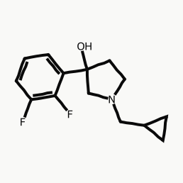 OC1(c2cccc(F)c2F)CCN(CC2CC2)C1